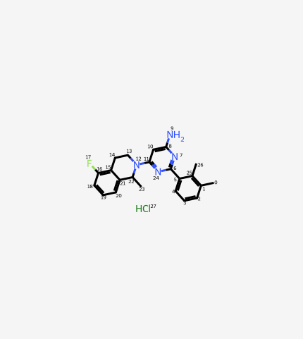 Cc1cccc(-c2nc(N)cc(N3CCc4c(F)cccc4C3C)n2)c1C.Cl